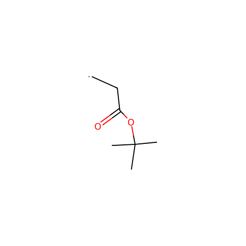 [CH2]CC(=O)OC(C)(C)C